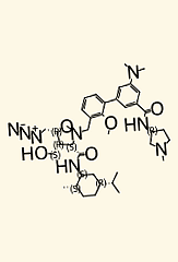 COc1c(CN2O[C@@H](CN=[N+]=[N-])[C@@H]([C@H](C)O)[C@H]2C(=O)N[C@H]2C[C@H](C(C)C)CC[C@@H]2C)cccc1-c1cc(C(=O)N[C@@H]2CCN(C)C2)cc(N(C)C)c1